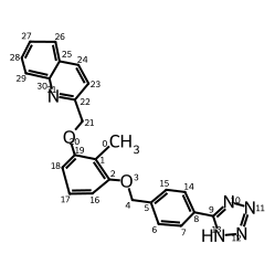 Cc1c(OCc2ccc(-c3nnn[nH]3)cc2)cccc1OCc1ccc2ccccc2n1